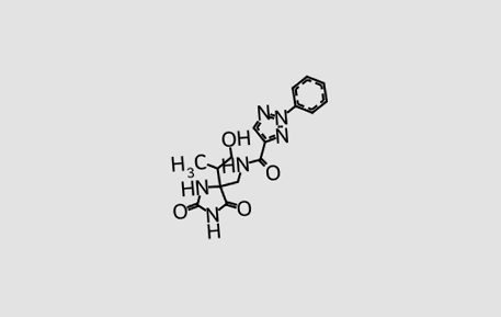 CC(CO)C1(CNC(=O)c2cnn(-c3ccccc3)n2)NC(=O)NC1=O